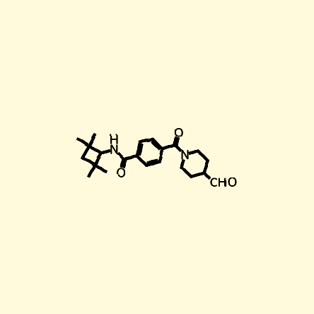 CC1(C)CC(C)(C)C1NC(=O)c1ccc(C(=O)N2CCC(C=O)CC2)cc1